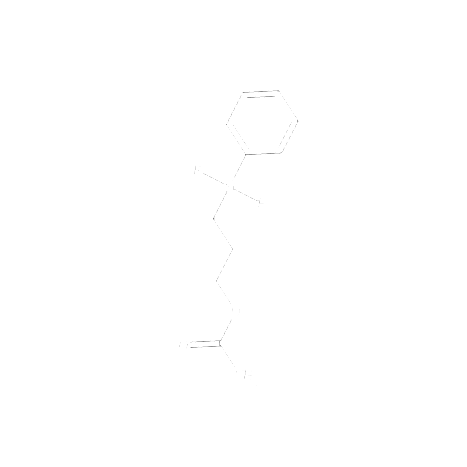 CC(=O)OCCC[Si](F)(F)c1ccccc1